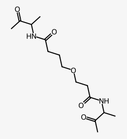 CC(=O)C(C)NC(=O)CCCOCCC(=O)NC(C)C(C)=O